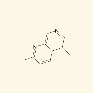 CC1=NC2=CN=CC(C)C2C=C1